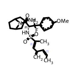 C=C(/C=C\C)/C=C(\C)S(=O)(=O)N[C@H](C(=O)N1C2CCC1CC(N)C2)C(F)(F)c1ccc(OC)cc1